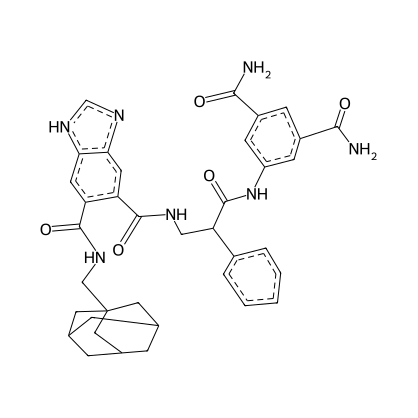 NC(=O)c1cc(NC(=O)C(CNC(=O)c2cc3nc[nH]c3cc2C(=O)NCC23CC4CC(CC(C4)C2)C3)c2ccccc2)cc(C(N)=O)c1